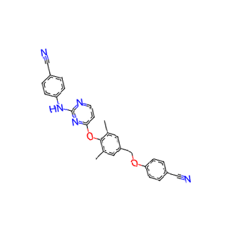 Cc1cc(COc2ccc(C#N)cc2)cc(C)c1Oc1ccnc(Nc2ccc(C#N)cc2)n1